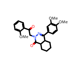 COc1ccc(C2=NN(CC(=O)c3ccccc3OC)C(=O)C3CCCCC23)cc1OC